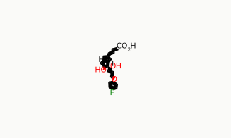 O=C(O)CCCCC1=C[C@@H]2C[C@H](O)[C@@H](C(O)=CCCOc3ccc(F)cc3)[C@@H]2C1